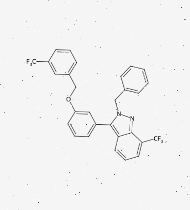 FC(F)(F)c1cccc(COc2cccc(-c3c4cccc(C(F)(F)F)c4nn3Cc3ccccc3)c2)c1